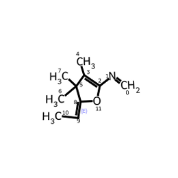 C=NC1=C(C)C(C)(C)/C(=C\C)O1